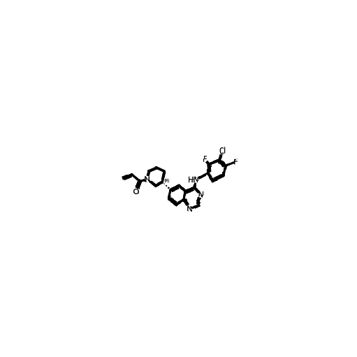 C=CC(=O)N1CCC[C@H](c2ccc3ncnc(Nc4ccc(F)c(Cl)c4F)c3c2)C1